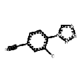 N#Cc1ccc(-n2cnnn2)c(Cl)c1